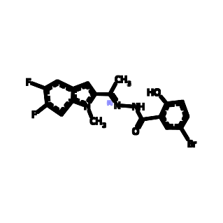 C/C(=N\NC(=O)c1cc(Br)ccc1O)c1cc2cc(F)c(F)cc2n1C